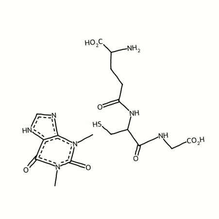 Cn1c(=O)c2[nH]cnc2n(C)c1=O.NC(CCC(=O)NC(CS)C(=O)NCC(=O)O)C(=O)O